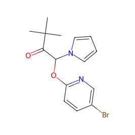 CC(C)(C)C(=O)C(Oc1ccc(Br)cn1)n1cccc1